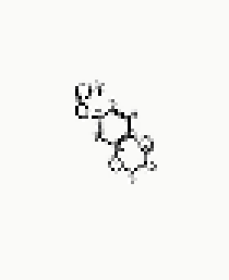 [CH]Oc1ccc2c(c1)OCCO2